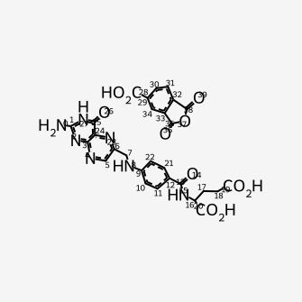 Nc1nc2ncc(CNc3ccc(C(=O)NC(CCC(=O)O)C(=O)O)cc3)nc2c(=O)[nH]1.O=C(O)c1ccc2c(c1)C(=O)OC2=O